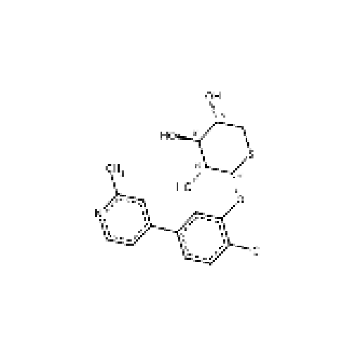 Cc1cc(-c2ccc(Cl)c(O[C@H]3SC[C@@H](O)[C@H](O)[C@H]3O)c2)ccn1